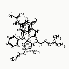 CC(C)C(=O)Nc1nc2c(ncn2[C@]2([SiH](c3ccccc3)c3ccccc3)O[C@H](COC(C)(C)C)[C@@H](O)[C@H]2OCCON(C)C)c(=O)[nH]1